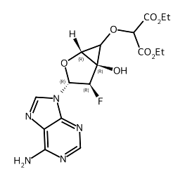 CCOC(=O)C(OC1[C@H]2O[C@@H](n3cnc4c(N)ncnc43)[C@H](F)[C@@]12O)C(=O)OCC